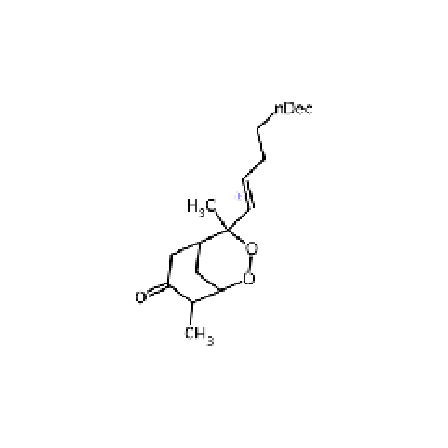 CCCCCCCCCCCC/C=C/C1(C)OOC2CC1CC(=O)C2C